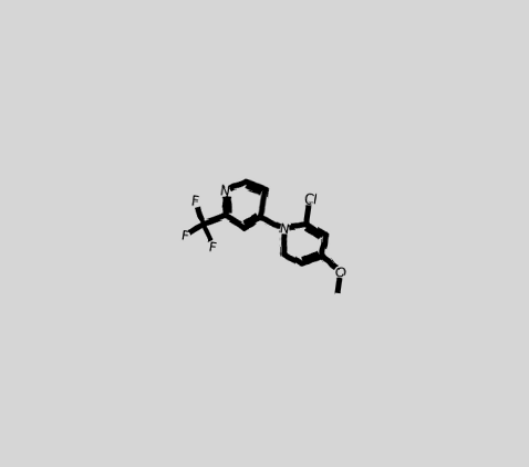 COC1=CCN(c2ccnc(C(F)(F)F)c2)C(Cl)=C1